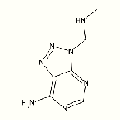 CNCn1nnc2c(N)ncnc21